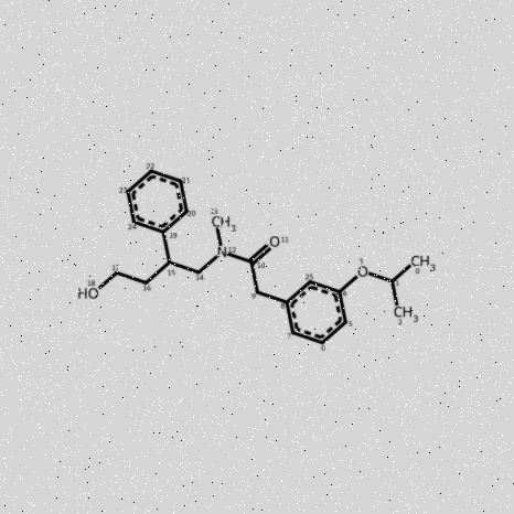 CC(C)Oc1cccc(CC(=O)N(C)CC(CCO)c2ccccc2)c1